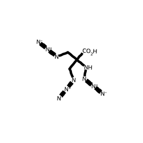 [N-]=[N+]=NCC(CN=[N+]=[N-])(NN=[N+]=[N-])C(=O)O